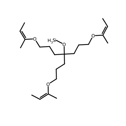 C/C=C(/C)OCCCC(CCCO/C(C)=C\C)(CCCO/C(C)=C\C)O[SiH3]